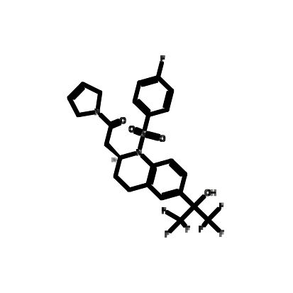 O=C(C[C@@H]1CCc2cc(C(O)(C(F)(F)F)C(F)(F)F)ccc2N1S(=O)(=O)c1ccc(F)cc1)N1CC=CC1